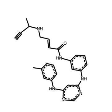 C#CC(C)NCC=CC(=O)Nc1cccc(Nc2cc(Nc3cccc(C)c3)ncn2)c1